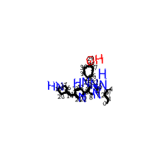 CCC[C@H](C)Nc1ncc(-c2ccc(C=C3CCNCC3)cn2)c(N[C@H]2CC[C@H](O)CC2)n1